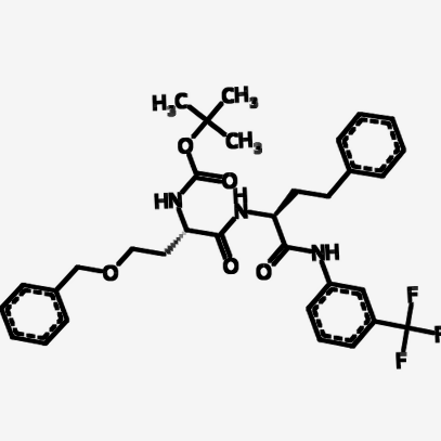 CC(C)(C)OC(=O)N[C@@H](CCOCc1ccccc1)C(=O)N[C@@H](CCc1ccccc1)C(=O)Nc1cccc(C(F)(F)F)c1